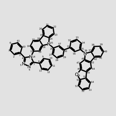 c1ccc(-c2nnc(-c3ccccc3)n2-c2ccc3c4ccccc4n(-c4cccc(-c5cccc(-n6c7ccccc7c7cc8c(cc76)oc6ccccc68)c5)c4)c3c2)cc1